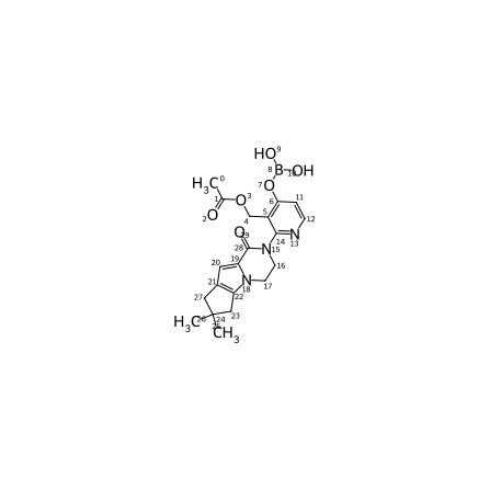 CC(=O)OCc1c(OB(O)O)ccnc1N1CCn2c(cc3c2CC(C)(C)C3)C1=O